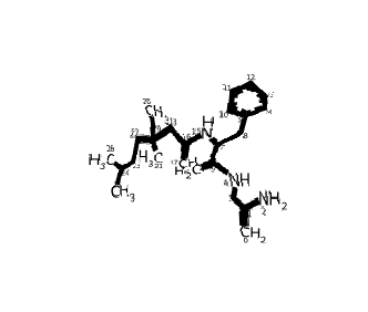 C=C(N)CNC(=C)C(Cc1ccccc1)NC(=C)CC(C)(C)CCC(C)C